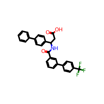 O=C(O)CC(NC(=O)c1cccc(-c2ccc(C(F)(F)F)cc2)c1)c1ccc(-c2ccccc2)cc1